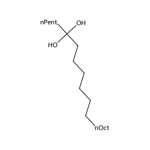 CCCCCCCCCCCCCCC(O)(O)CCCCC